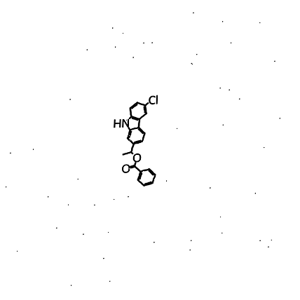 CC(OC(=O)c1ccccc1)c1ccc2c(c1)[nH]c1ccc(Cl)cc12